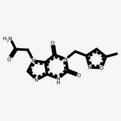 Cc1cc(Cn2c(=O)[nH]c3ncn(CC(N)=O)c3c2=O)no1